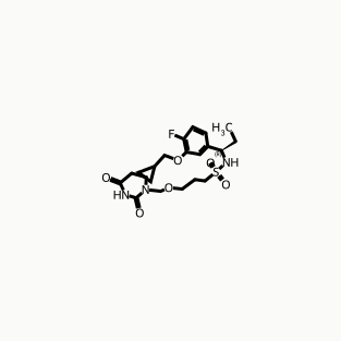 CC[C@@H](NS(=O)(=O)CCCOCN1CCC(=O)NC1=O)c1ccc(F)c(OCC2CC2)c1